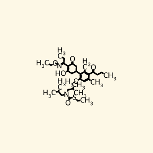 CCCC(=O)c1c(C)cc(C)c(C2CC(=O)C(/C(CC)=N/OCC)=C(O)C2)c1C.CCSC(=O)N(CC(C)C)CC(C)C